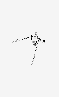 CCCCCCCCCCCCNCP(=O)(O)CN(CCO)CP(=O)(O)CNCCCCCCCCCCCC